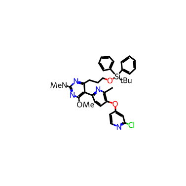 CNc1nc(CCCO[Si](c2ccccc2)(c2ccccc2)C(C)(C)C)c(-c2ccc(Oc3ccnc(Cl)c3)c(C)n2)c(OC)n1